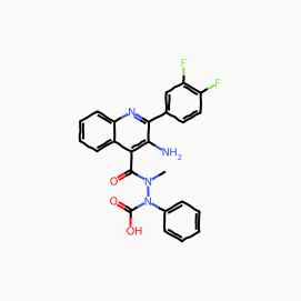 CN(C(=O)c1c(N)c(-c2ccc(F)c(F)c2)nc2ccccc12)N(C(=O)O)c1ccccc1